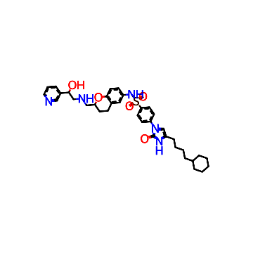 O=c1[nH]c(CCCCC2CCCCC2)cn1-c1ccc(S(=O)(=O)Nc2ccc3c(c2)CCC(CNCC(O)c2cccnc2)O3)cc1